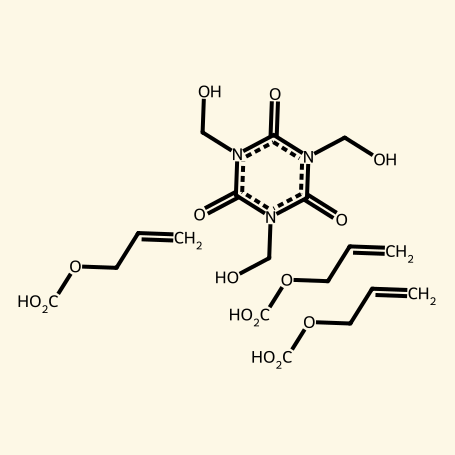 C=CCOC(=O)O.C=CCOC(=O)O.C=CCOC(=O)O.O=c1n(CO)c(=O)n(CO)c(=O)n1CO